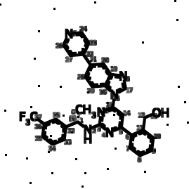 C[C@H](Nc1nc(-c2ccccc2CO)cc(-n2cnc3cc(-c4ccncc4)ccc32)n1)c1cccc(C(F)(F)F)c1